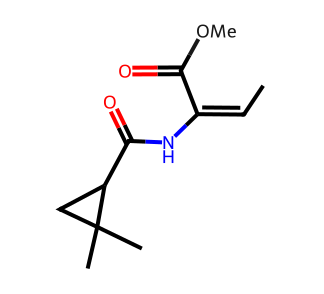 CC=C(NC(=O)C1CC1(C)C)C(=O)OC